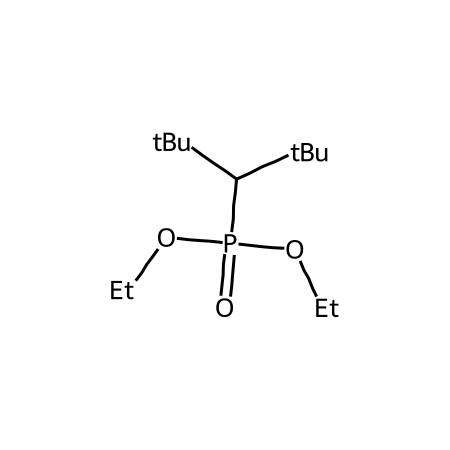 [CH2]C(C)(C)C(C(C)(C)C)P(=O)(OCC)OCC